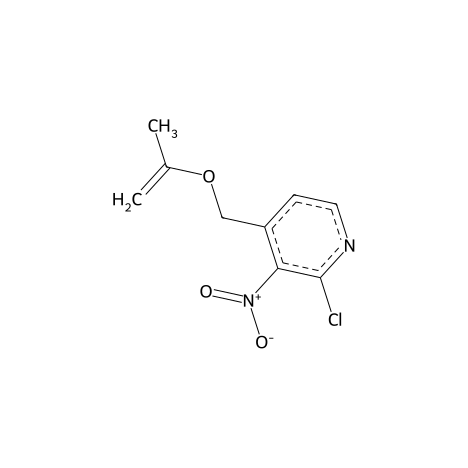 C=C(C)OCc1ccnc(Cl)c1[N+](=O)[O-]